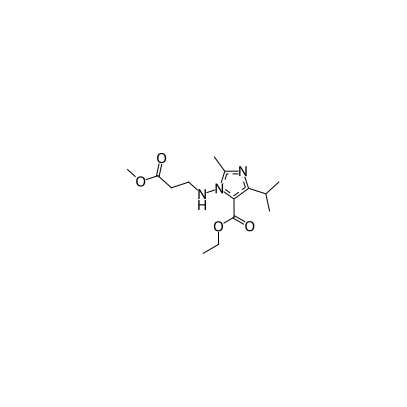 CCOC(=O)c1c(C(C)C)nc(C)n1NCCC(=O)OC